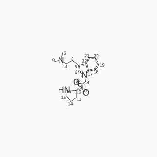 CN(C)CCc1cn(CS(=O)(=O)C2CCCN2)c2ccccc12